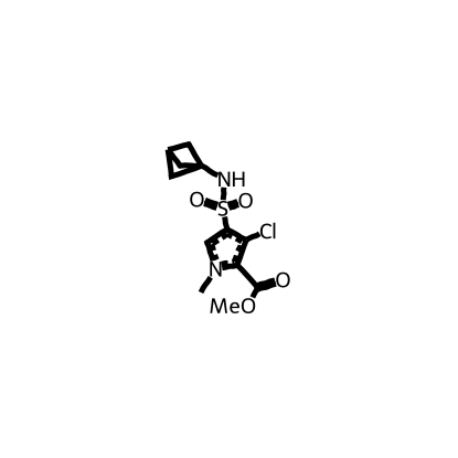 COC(=O)c1c(Cl)c(S(=O)(=O)NC23CC(C2)C3)cn1C